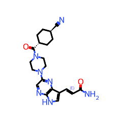 N#C[C@H]1CC[C@H](C(=O)N2CCN(c3cnc4[nH]cc(/C=C/C(N)=O)c4n3)CC2)CC1